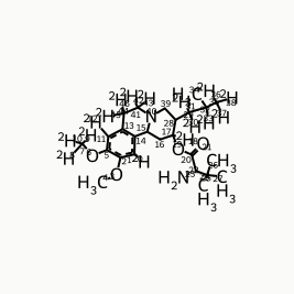 [2H]c1c(OC)c(OC([2H])([2H])[2H])c([2H])c2c1C1CC([2H])(OC(=O)[C@@H](N)C(C)(C)C)C(C([2H])([2H])C([2H])(C)C([2H])([2H])[2H])CN1C([2H])([2H])C2([2H])[2H]